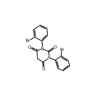 O=C1CC(=O)N(c2ccccc2Br)C(=O)N1c1ccccc1Br